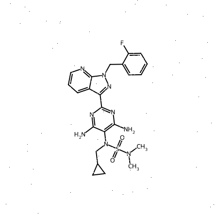 CN(C)S(=O)(=O)N(CC1CC1)c1c(N)nc(-c2nn(Cc3ccccc3F)c3ncccc23)nc1N